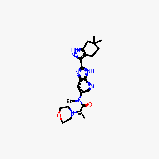 CCN(C(=O)[C@@H](C)N1CCOCC1)c1cnc2[nH]c(-c3n[nH]c4c3CCC(C)(C)C4)nc2c1